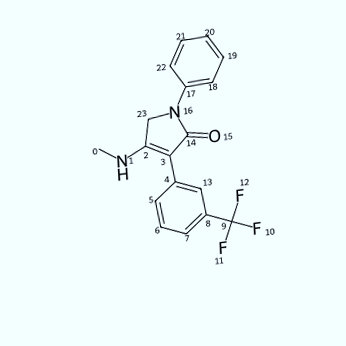 CNC1=C(c2cccc(C(F)(F)F)c2)C(=O)N(c2ccccc2)C1